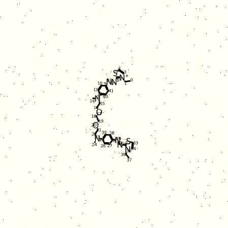 CC[n+]1ccsc1N=Nc1ccc(N(C)CCOCCOCCN(C)c2ccc(N=Nc3scc[n+]3CC)cc2)cc1